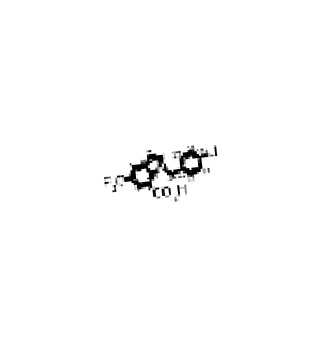 O=C(O)c1cc(C(F)(F)F)cc2ccn(Cc3ccc(Cl)cc3)c12